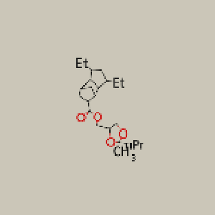 CCCC1(C)OCC(COC(=O)C2CC3CC2C2C(CC)CC(CC)C32)O1